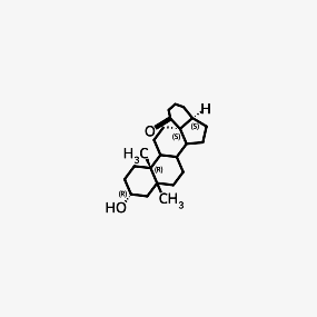 CC12CCC3C4CC[C@@H]5CCCC(=O)[C@]45CCC3[C@@]1(C)CC[C@@H](O)C2